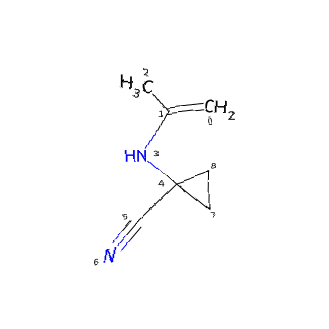 C=C(C)NC1(C#N)CC1